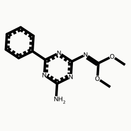 COC(=Nc1nc(N)nc(-c2ccccc2)n1)OC